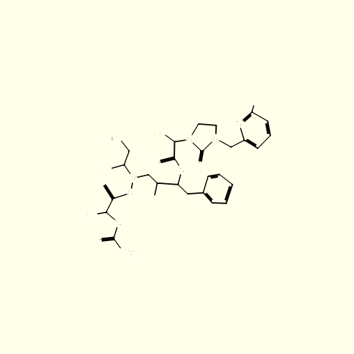 CCC(C)C(C(=O)NC(Cc1ccccc1)C(O)CN(NC(=O)C(NC(=O)OC)C(C)(C)C)C(C)CC(C)C)N1CCN(Cc2cccc(C)n2)C1=O